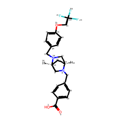 O=C(O)c1ccc(CN2C[C@@H]3C[C@H]2CN3Cc2ccc(OCC(F)(F)F)cc2)cc1